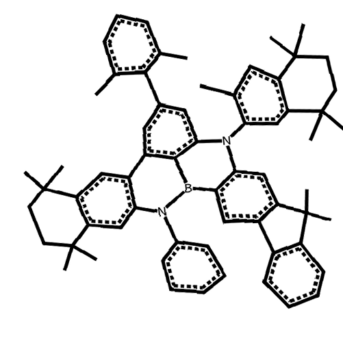 Cc1cc2c(cc1N1c3cc4c(cc3B3c5c(cc(-c6c(C)cccc6C)cc51)-c1cc5c(cc1N3c1ccccc1)C(C)(C)CCC5(C)C)-c1ccccc1C4(C)C)C(C)(C)CCC2(C)C